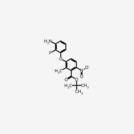 Cc1c(Oc2cccc(N)c2F)ccc([N+](=O)[O-])c1C(=O)OC(C)(C)C